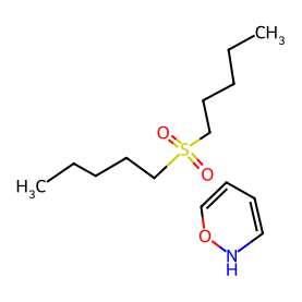 C1=CNOC=C1.CCCCCS(=O)(=O)CCCCC